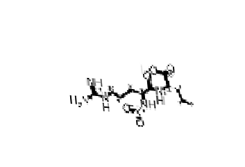 CCC[C@H](NC(=O)[C@H](CCCNC(=N)N)N[N+](=O)[O-])C(=O)O